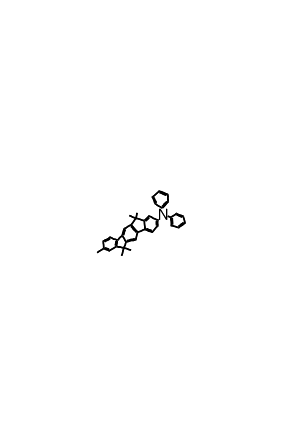 Cc1ccc2c(c1)C(C)(C)c1cc3c(cc1-2)C(C)(C)c1cc(N(c2ccccc2)c2ccccc2)ccc1-3